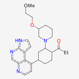 CCC(=O)C1CCC(c2ccnc3cnc4[nH]ccc4c23)CC1N1CCCC(OCCOC)C1